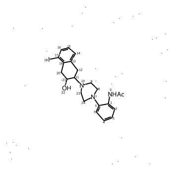 CC(=O)Nc1ccccc1N1CCN(C2Cc3cccc(I)c3CC2O)CC1